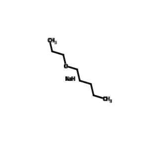 CCCCCOCCC.[NaH]